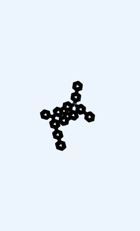 c1ccc(-c2ccc(-c3ccc(C(c4ccccc4)c4ccc5c(c4)C4(c6ccccc6-c6ccccc64)c4cc(N(c6ccc(-c7ccccc7)cc6)c6ccc(-c7ccccc7)cc6)ccc4-5)cc3)cc2)cc1